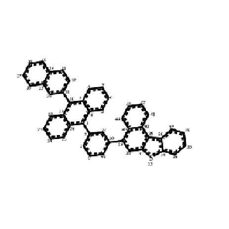 c1cc(-c2c3ccccc3c(-c3ccc4ccccc4c3)c3ccccc23)cc(-c2cc3sc4ccccc4c3c3ccccc23)c1